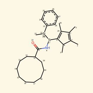 CC1=C(C)C(C)[C]([Ti]([NH]C(=O)C2CCCCCCCCC2)[SiH](C)c2ccccc2)=C1C